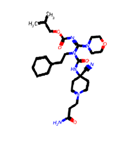 CC(C)COC(=O)/N=C(/N1CCOCC1)N(CCC1CCCCC1)C(=O)NC1(C#N)CCN(CCC(N)=O)CC1